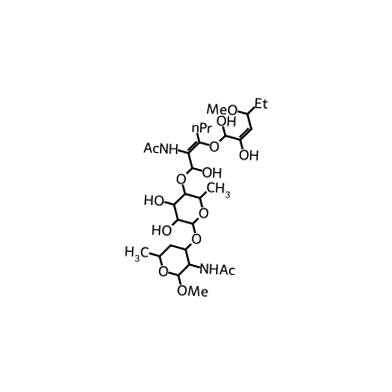 CCC/C(OC(O)/C(O)=C\C(CC)OC)=C(\NC(C)=O)C(O)OC1C(C)OC(OC2CC(C)OC(OC)C2NC(C)=O)C(O)C1O